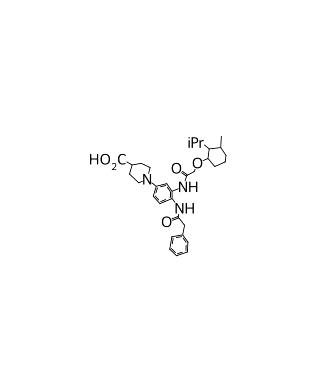 CC(C)C1C(C)CCCC1OCC(=O)Nc1cc(N2CCC(C(=O)O)CC2)ccc1NC(=O)Cc1ccccc1